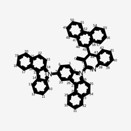 C=C1C(n2c3ccc(-n4c5ccccc5c5c6ccccc6ccc54)cc3c3c4ccccc4ccc32)=Nc2ccccc2C1c1cc2ccccc2c2ccccc12